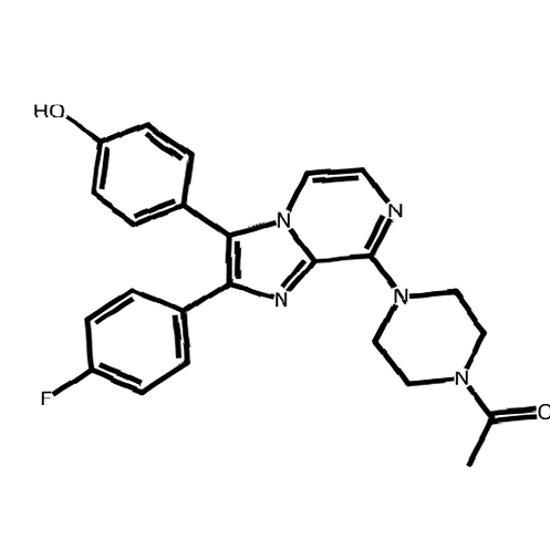 CC(=O)N1CCN(c2nccn3c(-c4ccc(O)cc4)c(-c4ccc(F)cc4)nc23)CC1